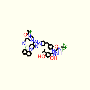 C=C(F)C(=O)N1CCN(c2nc(N3CCC(Cc4ccc(-n5c(C(=O)NCC(F)(F)F)nnc5-c5cc(C(C)C)c(O)cc5O)cc4)CC3)nc3c2CCN(c2cccc4cccc(Cl)c24)C3)CC1CC#N